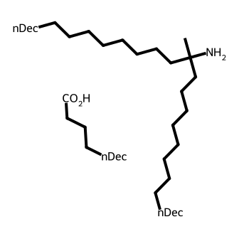 CCCCCCCCCCCCCC(=O)O.CCCCCCCCCCCCCCCCCCC(C)(N)CCCCCCCCCCCCCCCCCC